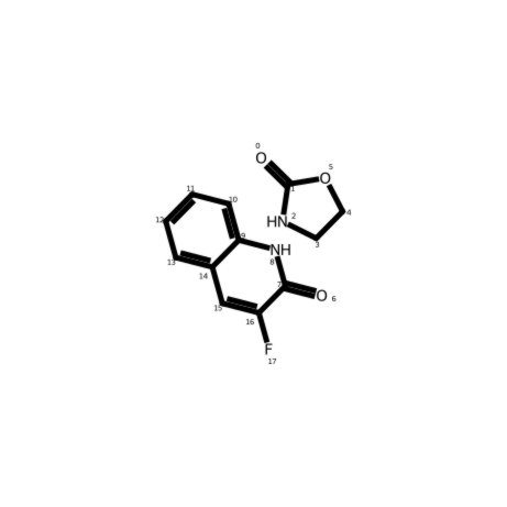 O=C1NCCO1.O=c1[nH]c2ccccc2cc1F